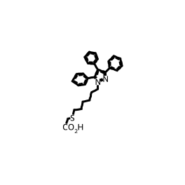 O=C(O)CSCCCCCCn1nc(-c2ccccc2)c(-c2ccccc2)c1-c1ccccc1